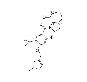 CC[C@H]1CCN(C(=O)c2cc(C3CC3)c(OCC3=CCC(C)C3)cc2F)[C@@H]1C(=O)O